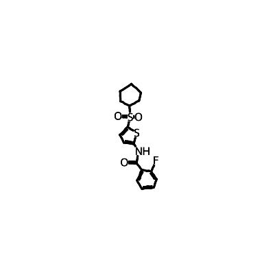 O=C(Nc1ccc(S(=O)(=O)C2CCCCC2)s1)c1ccccc1F